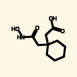 O=C(O)CC1(CC(=O)NO)CCCCC1